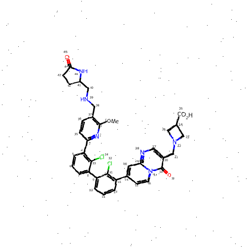 COc1nc(-c2cccc(-c3cccc(-c4ccn5c(=O)c(CN6CC(C(=O)O)C6)cnc5c4)c3Cl)c2Cl)ccc1CNCC1CCC(=O)N1